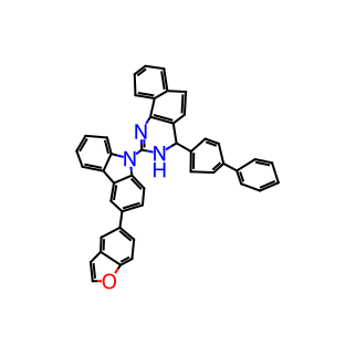 c1ccc(-c2ccc(C3NC(n4c5ccccc5c5cc(-c6ccc7occc7c6)ccc54)=Nc4c3ccc3ccccc43)cc2)cc1